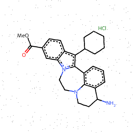 COC(=O)c1ccc2c(C3CCCCC3)c3n(c2c1)CCN1CCC(N)c2cccc-3c21.Cl